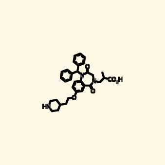 CC(CN1CC(=O)N(C(c2ccccc2)c2ccccc2)c2ccc(OCCC3CCNCC3)cc2C1=O)C(=O)O